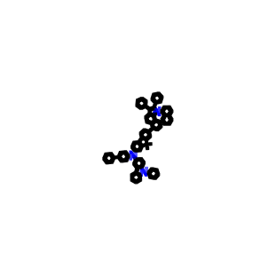 CC1(C)c2cc(-c3cccc4c3ccc3c(-c5ccccc5)c(-c5ccccc5)n(-c5cccc6ccccc56)c34)ccc2-c2ccc(N(c3ccc(-c4ccccc4)cc3)c3ccc4c(c3)c3ccccc3n4-c3ccccc3)cc21